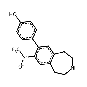 [O-][S+](c1cc2c(cc1-c1ccc(O)cc1)CCNCC2)C(F)(F)F